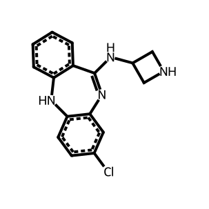 Clc1ccc2c(c1)N=C(NC1CNC1)c1ccccc1N2